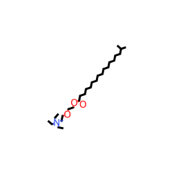 CC[N+](CC)(CC)CCOCCOC(=O)CCCCCCCCCCCCCCC(C)C